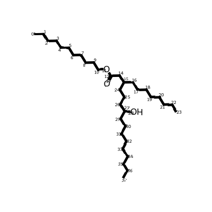 CCCCCCCCCCCOC(=O)CC(CCCCCCCC)CCCC(O)CCCCCCCCC